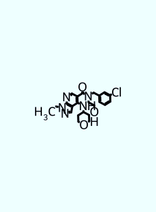 CCn1ncc2c(NC3CCOCC3)c(C(=O)N(CCO)Cc3cccc(Cl)c3)cnc21